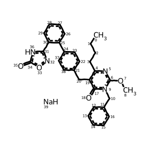 CCCCc1nc(OC)n(Cc2ccccc2)c(=O)c1Cc1ccc(-c2ccccc2-c2noc(=O)[nH]2)cc1.[NaH]